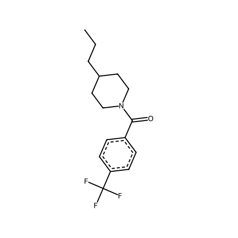 CCCC1CCN(C(=O)c2ccc(C(F)(F)F)cc2)CC1